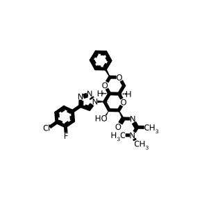 CC(=NC(=O)[C@@H]1O[C@@H]2CO[C@H](c3ccccc3)O[C@@H]2[C@H](n2cc(-c3ccc(Cl)c(F)c3)nn2)[C@H]1O)N(C)C